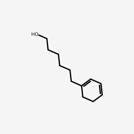 OCCCCCCC1=CC=CC[CH]1